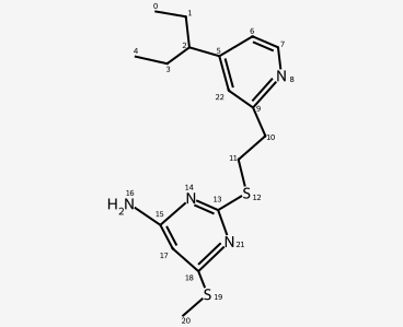 CCC(CC)c1ccnc(CCSc2nc(N)cc(SC)n2)c1